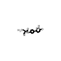 CCC(C#N)C(=O)Nc1ccc(-c2ccc(=O)[nH]n2)cc1